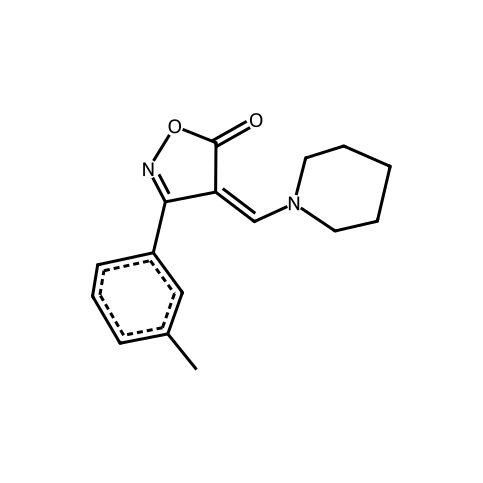 Cc1cccc(C2=NOC(=O)C2=CN2CCCCC2)c1